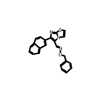 C(=NOCc1ccccc1)c1c(-c2ccc3ccccc3c2)nc2sccn12